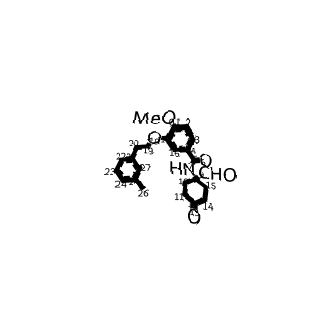 COc1ccc(C(=O)NC2([C]=O)CCC(=O)CC2)cc1OCCc1cccc(C)c1